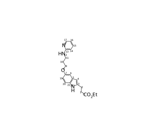 CCOC(=O)CCc1cc2cc(OCCCNc3ccccn3)ccc2[nH]1